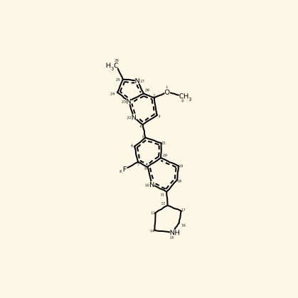 COc1cc(-c2cc(F)c3nc(C4CCNCC4)ccc3c2)nn2cc(C)nc12